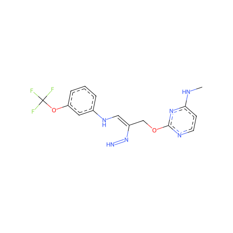 CNc1ccnc(OC/C(=C/Nc2cccc(OC(F)(F)F)c2)N=N)n1